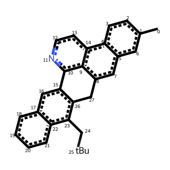 Cc1ccc2c(c1)cc1c3c(nccc32)-c2cc3ccccc3c(CC(C)(C)C)c2C1